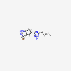 FC(F)(F)CCc1nc(-c2ccc3[nH]nc(Br)c3c2)n[nH]1